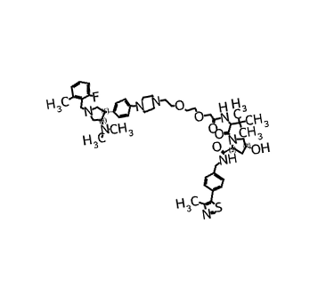 Cc1cccc(F)c1CN1C[C@H](c2ccc(N3CCN(CCOCCOCC(=O)NC(C(=O)N4C[C@H](O)C[C@H]4C(=O)NCc4ccc(-c5scnc5C)cc4)C(C)(C)C)CC3)cc2)[C@@H](N(C)C)C1